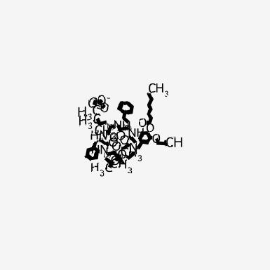 C#CCOc1cc(C[N+]2(CC(=O)N[C@@H](CCc3ccccc3)C(=O)N[C@@H](CC(C)C)C(=O)N[C@@H](Cc3ccccc3)C(=O)N[C@@H](CC(C)C)C(=O)[C@@]3(C)CO3)CCOCC2)ccc1OC(=O)CCCCCCC.CS(=O)(=O)[O-]